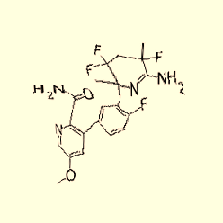 COc1cnc(C(N)=O)c(-c2ccc(F)c(C3(C)N=C(N)C(C)(F)CC3(F)F)c2)c1